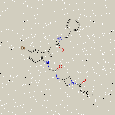 C=CC(=O)N1CC(NC(=O)Cn2cc(CC(=O)NCc3ccccc3)c3cc(Br)ccc32)C1